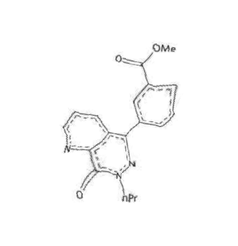 CCCn1nc(-c2cccc(C(=O)OC)c2)c2cccnc2c1=O